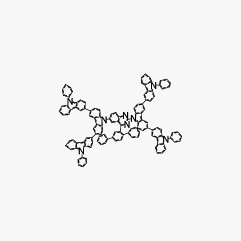 c1ccc(-c2ccc(-c3ccccc3)c(-c3nc(-n4c5ccc(-c6ccc7c(c6)c6ccccc6n7-c6ccccc6)cc5c5cc(-c6ccc7c(c6)c6ccccc6n7-c6ccccc6)ccc54)nc4ccc(-n5c6ccc(-c7ccc8c(c7)c7ccccc7n8-c7ccccc7)cc6c6cc(-c7ccc8c(c7)c7ccccc7n8-c7ccccc7)ccc65)cc34)c2)cc1